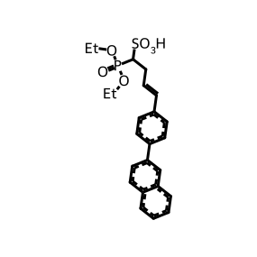 CCOP(=O)(OCC)C(C/C=C/c1ccc(-c2ccc3ccccc3c2)cc1)S(=O)(=O)O